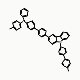 Cc1ccc(-c2ccc(-n3c4ccccc4c4cc(-c5ccc(-c6ccc(N(c7ccccc7)c7ccc(C)cc7)cc6)cc5)ccc43)cc2)cc1